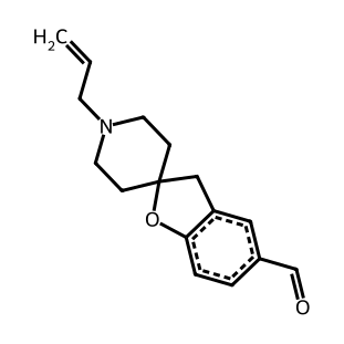 C=CCN1CCC2(CC1)Cc1cc(C=O)ccc1O2